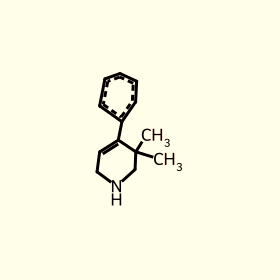 CC1(C)CNCC=C1c1ccccc1